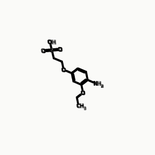 CCOc1cc(OCCS(=O)(=O)O)ccc1N